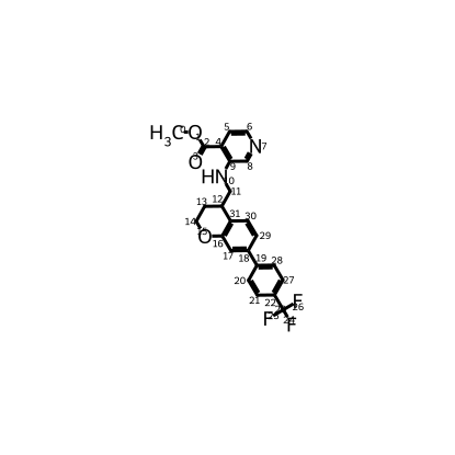 COC(=O)c1ccncc1NCC1CCOc2cc(-c3ccc(C(F)(F)F)cc3)ccc21